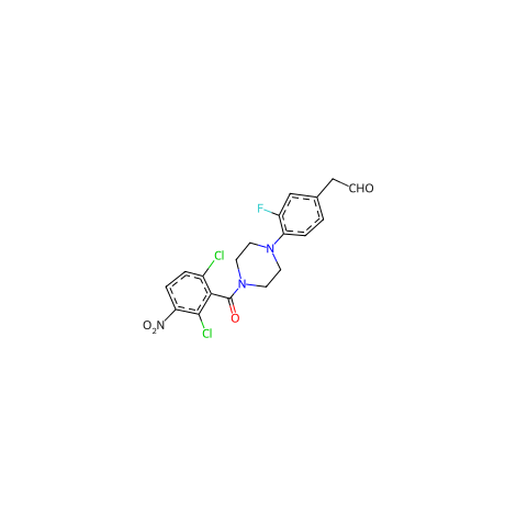 O=CCc1ccc(N2CCN(C(=O)c3c(Cl)ccc([N+](=O)[O-])c3Cl)CC2)c(F)c1